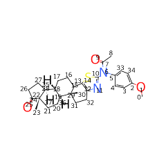 COc1ccc(N(C(C)=O)c2nc3c(s2)C2CC[C@@H]4[C@H](CC[C@]5(C)C(=O)CC[C@@H]45)[C@@]2(C)CC3)cc1